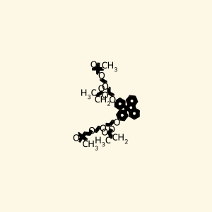 C=C(C)C(=O)OC(COCCOCCC1(CC)COC1)COc1ccc(C2(c3ccc(OCC(COCCOCC4(CC)COC4)OC(=O)C(=C)C)cc3)c3ccccc3-c3ccccc32)cc1